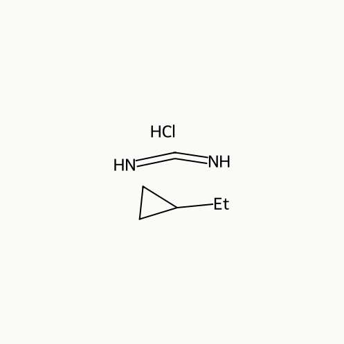 CCC1CC1.Cl.N=C=N